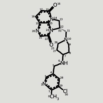 Cc1ncc(CNC2CCN(C[C@H]3Cn4c(=O)ccc5ncc(=O)n3c54)CC2)cc1Cl